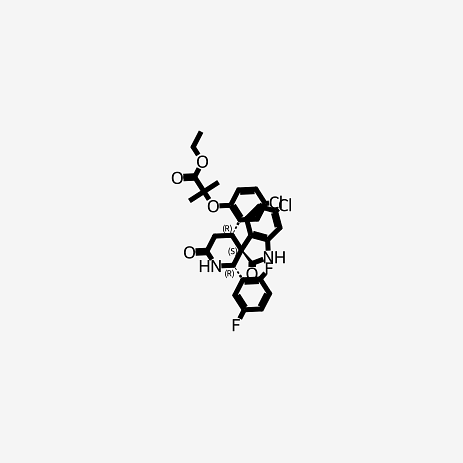 CCOC(=O)C(C)(C)Oc1ccc(Cl)cc1[C@H]1CC(=O)N[C@@H](c2cc(F)ccc2F)[C@]12C(=O)Nc1cc(Cl)ccc12